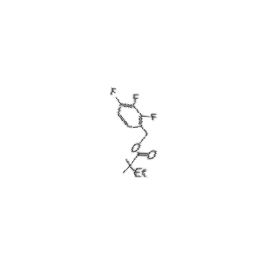 CCC(C)(C)C(=O)OCc1ccc(F)c(F)c1F